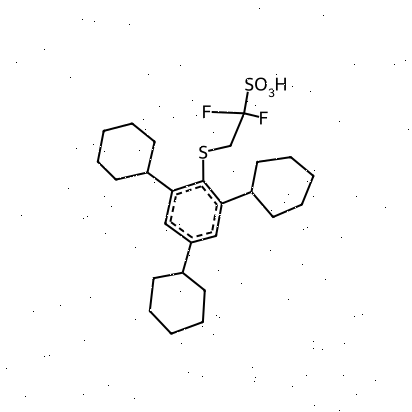 O=S(=O)(O)C(F)(F)CSc1c(C2CCCCC2)cc(C2CCCCC2)cc1C1CCCCC1